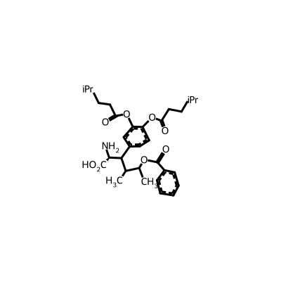 CC(C)CCC(=O)Oc1ccc(C(C(C)C(C)OC(=O)c2ccccc2)[C@H](N)C(=O)O)cc1OC(=O)CCC(C)C